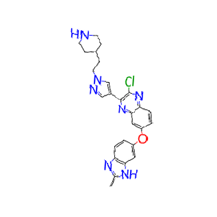 Cc1nc2ccc(Oc3ccc4nc(Cl)c(-c5cnn(CCC6CCNCC6)c5)nc4c3)cc2[nH]1